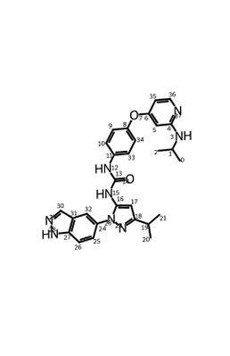 CC(C)Nc1cc(Oc2ccc(NC(=O)Nc3cc(C(C)C)nn3-c3ccc4[nH]ncc4c3)cc2)ccn1